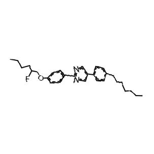 CCCCCCCc1ccc(-c2cnc(-c3ccc(OCC(F)CCCC)cc3)nc2)cc1